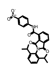 CC(C)c1cccc(C(C)C)c1N1C(=O)c2cccc(C(=O)Nc3ccc([N+](=O)[O-])cc3)c2C1=O